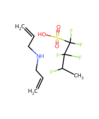 C=CCNCC=C.CC(F)C(F)(F)C(F)(F)S(=O)(=O)O